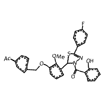 COc1c(OCc2ccc(C(C)=O)cc2)cccc1C1SC(c2ccc(F)cc2)=NN1C(=O)c1ccccc1O